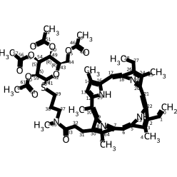 C=Cc1c(C)c2cc3nc(c(C)c4cc(C)c(cc5nc(cc1[nH]2)C(C)=C5CC)[nH]4)C(CCC(=O)N(C)CCCS[C@@H]1O[C@H](COC(C)=O)[C@@H](OC(C)=O)[C@H](OC(C)=O)[C@@H]1OC(C)=O)=C3C